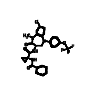 CN1C(=O)[C@H](NC(=O)C2(NC(=O)c3ccccc3)CC2)CN(c2ccc(OC(F)(F)F)cc2)c2ccc(Cl)cc21